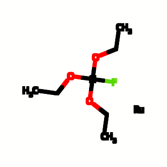 CCO[Si](F)(OCC)OCC.[Ru]